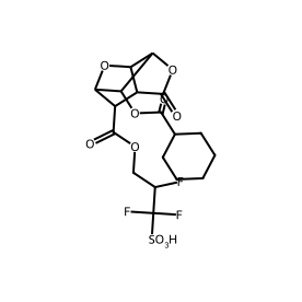 O=C(OC1C2OC(=O)C3C2OC1C3C(=O)OCC(F)C(F)(F)S(=O)(=O)O)C1CCCCC1